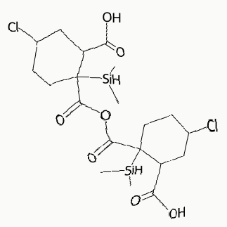 C[SiH](C)C1(C(=O)OC(=O)C2([SiH](C)C)CCC(Cl)CC2C(=O)O)CCC(Cl)CC1C(=O)O